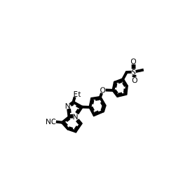 CCc1nc2c(C#N)cccn2c1-c1cccc(Oc2cccc(CS(C)(=O)=O)c2)c1